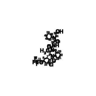 C[C@@H]1CN(C(=O)c2ccc(OCC(F)(F)F)cc2Cl)c2ccccc2CN1C(=O)NCC(=O)N(CCO)C1CCCCC1